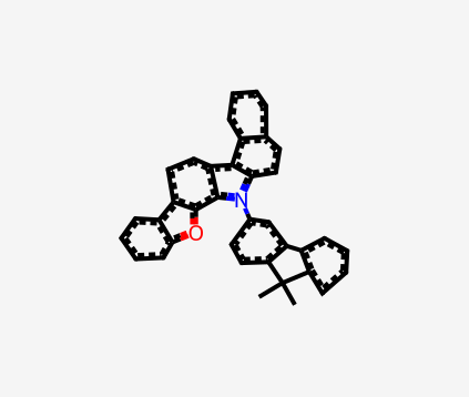 CC1(C)c2ccccc2-c2cc(-n3c4ccc5ccccc5c4c4ccc5c6ccccc6oc5c43)ccc21